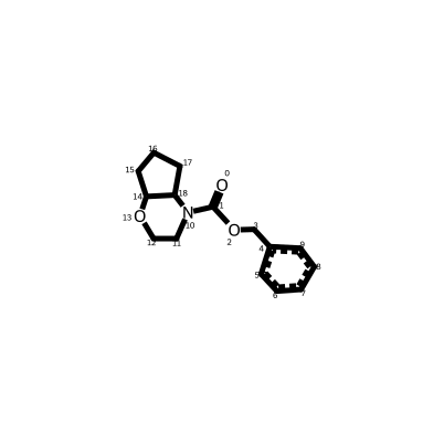 O=C(OCc1ccccc1)N1CCOC2CCCC21